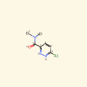 CCN(CC)C(=O)c1ccc(Cl)nn1